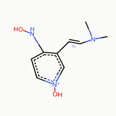 CN(C)/C=C/c1c[n+](O)ccc1NO